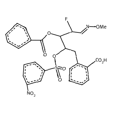 CON=CC(F)C(OC(=O)c1ccccc1)C(Cc1ccccc1C(=O)O)OS(=O)(=O)c1cccc([N+](=O)[O-])c1